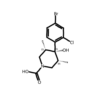 C[C@@H]1CN(C(=O)O)C[C@H](C)[C@@]1(O)c1ccc(Br)cc1Cl